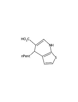 CCCCCC1C(C(=O)O)=CNc2sccc21